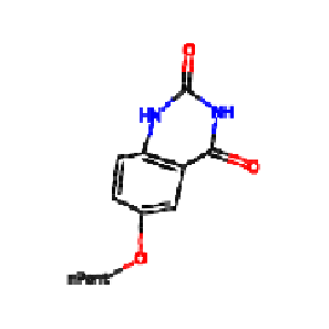 CCCCCOc1ccc2[nH]c(=O)[nH]c(=O)c2c1